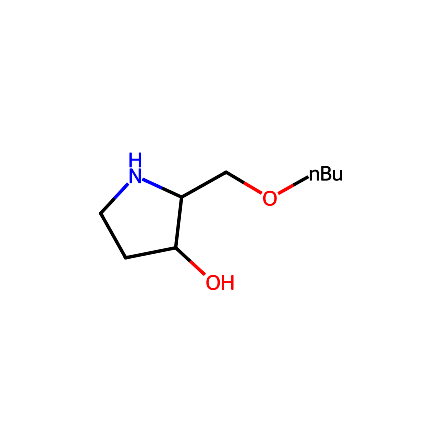 CCCCOCC1NCCC1O